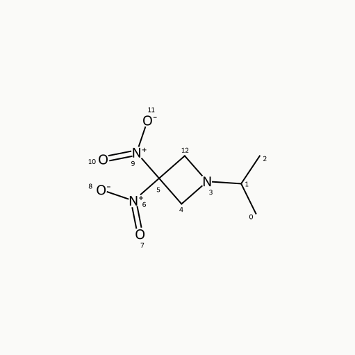 CC(C)N1CC([N+](=O)[O-])([N+](=O)[O-])C1